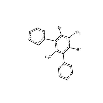 Cc1c(-c2ccccc2)c(Br)c(N)c(Br)c1-c1ccccc1